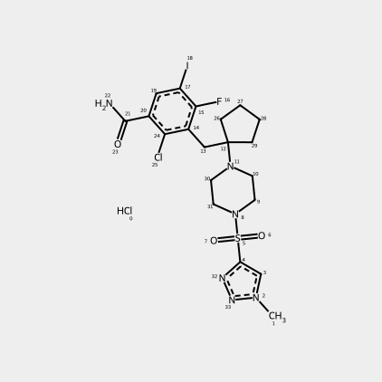 Cl.Cn1cc(S(=O)(=O)N2CCN(C3(Cc4c(F)c(I)cc(C(N)=O)c4Cl)CCCC3)CC2)nn1